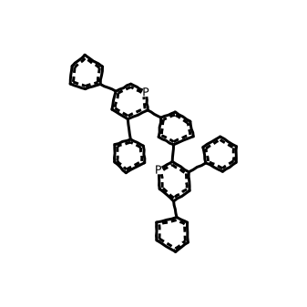 c1ccc(-c2cpc(-c3cccc(-c4pcc(-c5ccccc5)cc4-c4ccccc4)c3)c(-c3ccccc3)c2)cc1